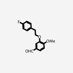 COc1ccc(C=O)cc1OCCc1ccc(F)cc1